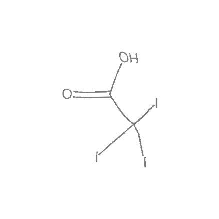 O=C(O)C(I)(I)I